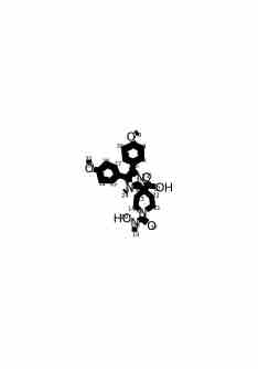 COc1ccc(-c2nc(C3(C(=O)O)CCN(C(=O)N(C)O)CC3)n(C)c2-c2ccc(OC)cc2)cc1